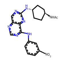 CC(=O)N[C@H]1CC[C@H](Nc2ncc3ncnc(Nc4cccc([N+](=O)[O-])c4)c3n2)CC1